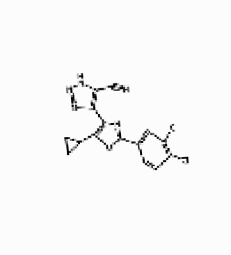 N#Cc1[nH]nnc1-c1nc(-c2ccc(Cl)c(Cl)c2)oc1C1CC1